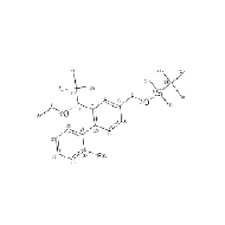 CCO[C@@H](c1cc(CO[Si](C)(C)C(C)(C)C)ccc1-c1ccccc1F)C(C)(C)C